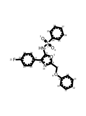 O=S(=O)(Nc1oc(COc2ccccc2)nc1-c1ccc(F)cc1)c1ccccc1